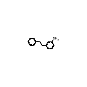 Nc1cccc(CCc2ccccc2)c1